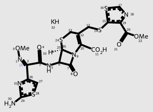 CO/N=C(\C(=O)NC1C(=O)N2C(C(=O)O)=C(CSc3scnc3C(=O)OC)CS[C@H]12)c1csc(N)n1.[KH]